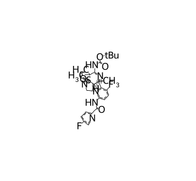 CC(C)(C)OC(=O)NC1=N[C@](C)(c2nc(NC(=O)c3ccc(F)cn3)ccc2F)[C@@H]2CCN=[S@]2(=O)C1(C)C